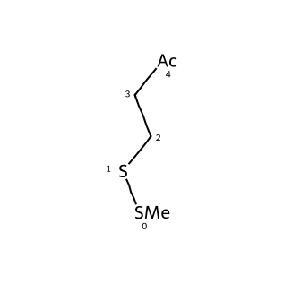 CSSCCC(C)=O